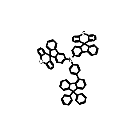 c1ccc(C2(c3ccccc3)c3ccccc3-c3c(-c4ccc(N(c5ccc6c(c5)-c5ccccc5C65c6ccccc6Oc6ccccc65)c5ccc6c(c5)-c5ccccc5C65c6ccccc6Sc6ccccc65)cc4)cccc32)cc1